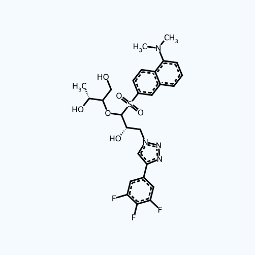 C[C@@H](O)C(CO)OC([C@@H](O)Cn1cc(-c2cc(F)c(F)c(F)c2)nn1)S(=O)(=O)c1ccc2c(N(C)C)cccc2c1